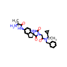 C[C@H](N)C(=O)Nc1ccc2c(c1)CC[C@]21NC(=O)N(CC(=O)N(Cc2ccccc2)[C@@H](C)C2CC2)C1=O